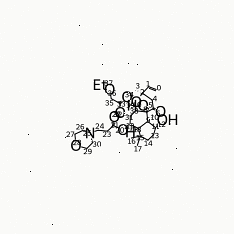 C=C[C@@]1(C)CC(=O)[C@]2(O)[C@@]3(C)[C@@H](O)CCC(C)(C)[C@@H]3[C@H](OC(=O)CCN3CCOCC3)[C@H](OC(=O)COCC)[C@@]2(C)O1